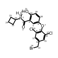 CN(C(=O)c1cc(Oc2c(Cl)cc(CBr)cc2Cl)ccc1O)C1CCC1